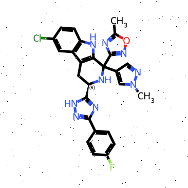 Cc1nc(C2(c3cnn(C)c3)N[C@@H](c3nc(-c4ccc(F)cc4)n[nH]3)Cc3c2[nH]c2ccc(Cl)cc32)no1